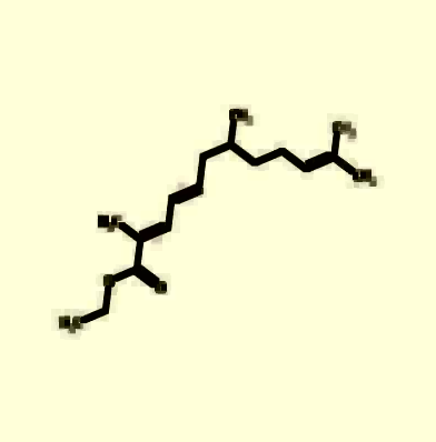 CCOC(=O)/C(C)=C/C=C/CC(C)CCC=C(C)C